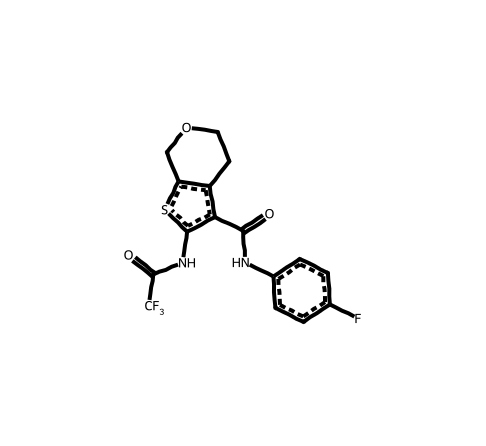 O=C(Nc1ccc(F)cc1)c1c(NC(=O)C(F)(F)F)sc2c1CCOC2